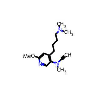 C#CN(C)c1cnc(OC)cc1CCCCN(C)C